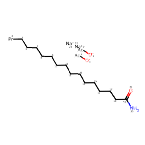 CC(=O)[O-].CC(=O)[O-].CC(C)CCCCCCCCCCCCCCC(N)=O.[Na+].[Na+]